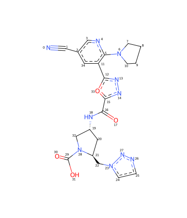 N#Cc1cnc(N2CCCC2)c(-c2nnc(C(=O)N[C@@H]3C[C@@H](Cn4ccnn4)N(C(=O)O)C3)o2)c1